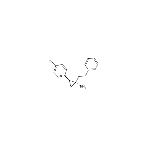 N[C@]1(CCc2ccccc2)C[C@H]1c1ccc(Cl)cc1